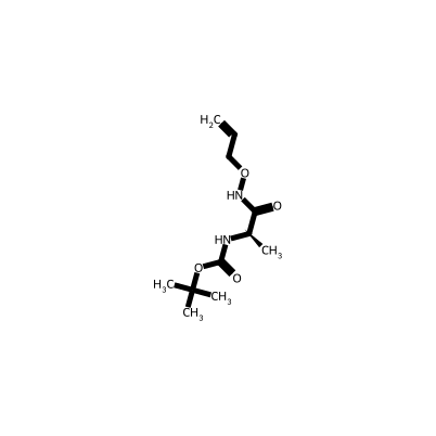 C=CCONC(=O)[C@@H](C)NC(=O)OC(C)(C)C